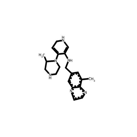 Cc1cc(CNC2=CNCC=C2N2CCNCC2C)cc2nccnc12